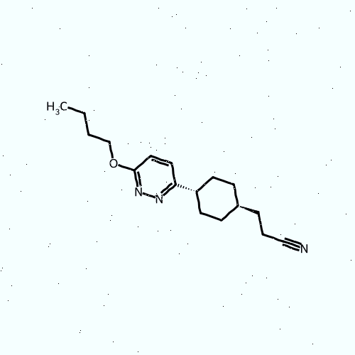 CCCCOc1ccc([C@H]2CC[C@H](CCC#N)CC2)nn1